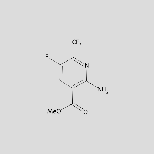 COC(=O)c1cc(F)c(C(F)(F)F)nc1N